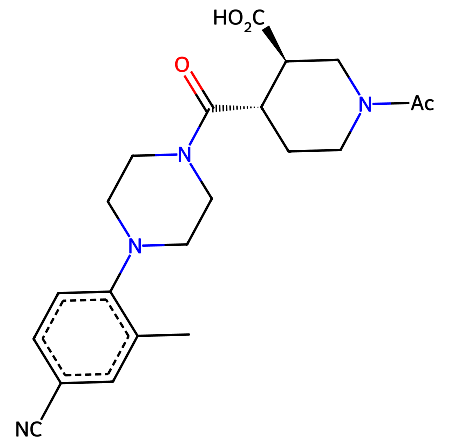 CC(=O)N1CC[C@H](C(=O)N2CCN(c3ccc(C#N)cc3C)CC2)[C@@H](C(=O)O)C1